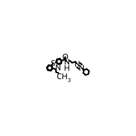 CCCC1=Nc2cc(C(=O)NCCCN3CCN(C4CCCCC4)CC3)ccc2Sc2ccccc21